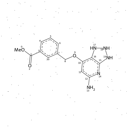 COC(=O)c1cccc(COc2cc(N)nc3c2NNN3)c1